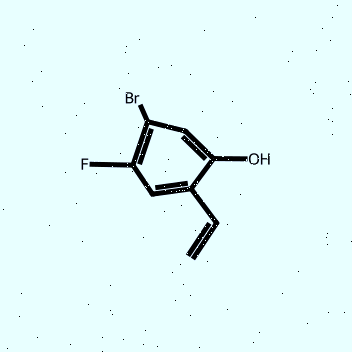 C=Cc1cc(F)c(Br)cc1O